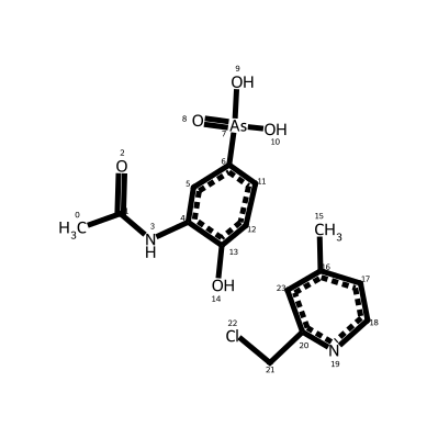 CC(=O)Nc1cc([As](=O)(O)O)ccc1O.Cc1ccnc(CCl)c1